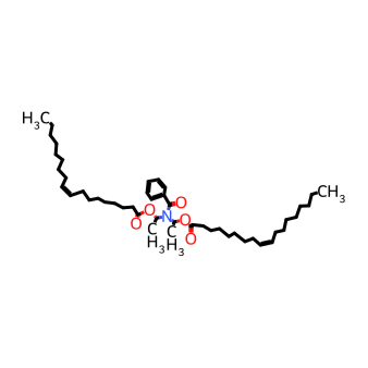 CCCCCCCC/C=C\CCCCCCCC(=O)OC(C)N(C(=O)c1ccccc1)C(C)OC(=O)CCCCCCC/C=C\CCCCCCCC